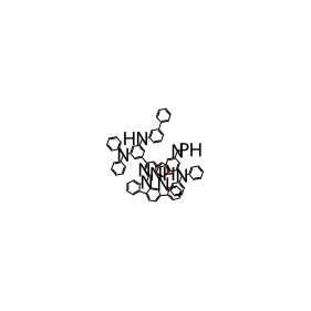 P=Nc1cc(C2=CC(c3cc(Nc4cccc(-c5ccccc5)c4)cc(N(c4ccccc4)c4ccccc4)c3)=NC(n3c4ccccc4c4ccc5c6ccccc6n(-c6ccccc6)c5c43)N2)cc(N(c2ccccc2)c2ccccc2)c1